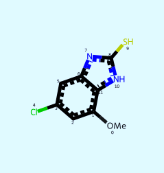 COc1cc(Cl)cc2nc(S)[nH]c12